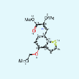 COCOc1ccc(/C=C(/OC)C(=O)OC)c2sccc12